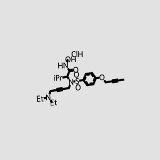 CC#CCOc1ccc(S(=O)(=O)N(CC#CCN(CC)CC)C(C(=O)NO)C(C)C)cc1.Cl